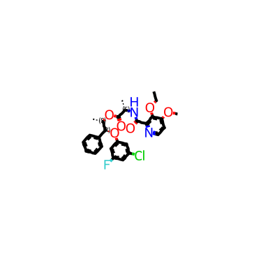 CCOc1c(OC)ccnc1C(=O)N[C@@H](C)C(=O)O[C@@H](C)[C@H](Oc1cc(F)cc(Cl)c1)c1ccccc1